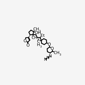 CCC(CCC1(C)[C@@H](C2=CC(=O)OC2)CC[C@@]1(C)O)C1(C)CCC(OC2CC[C@@H](N=[N+]=[N-])C(C)O2)CC1